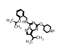 CC(C)Oc1ccccc1CNc1nc(OC2CCNCC2)nc2c(C(C)C)cnn12